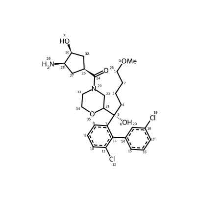 COCCCC[C@@](O)(c1cccc(Cl)c1-c1cccc(Cl)c1)C1CN(C(=O)[C@H]2C[C@@H](N)[C@@H](O)C2)CCO1